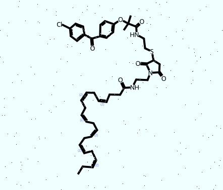 CC/C=C\C/C=C\C/C=C\C/C=C\C/C=C\C/C=C\CCC(=O)NCCN1C(=O)CC(SCCNC(=O)C(C)(C)Oc2ccc(C(=O)c3ccc(Cl)cc3)cc2)C1=O